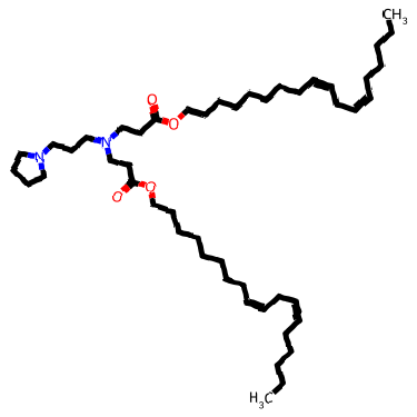 CCCCC/C=C\C/C=C\CCCCCCCCOC(=O)CCN(CCCN1CCCC1)CCC(=O)OCCCCCCCC/C=C\C/C=C\CCCCC